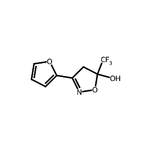 OC1(C(F)(F)F)CC(c2ccco2)=NO1